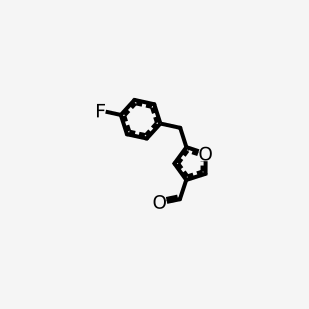 O=Cc1coc(Cc2ccc(F)cc2)c1